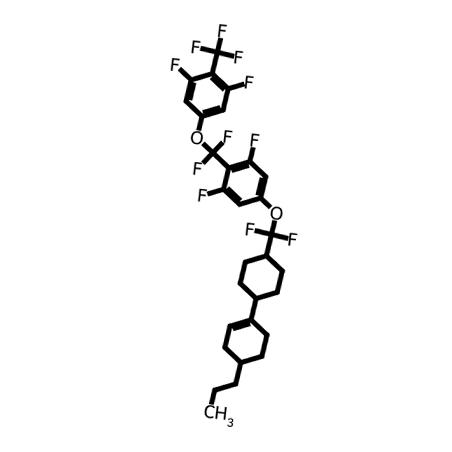 CCCC1CC=C(C2CCC(C(F)(F)Oc3cc(F)c(C(F)(F)Oc4cc(F)c(C(F)(F)F)c(F)c4)c(F)c3)CC2)CC1